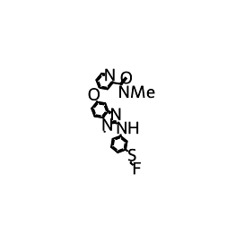 CNC(=O)c1cc(Oc2ccc3c(c2)nc(Nc2cccc(SCF)c2)n3C)ccn1